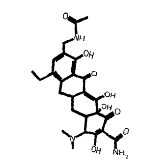 CCc1cc(CNC(C)=O)c(O)c2c1CC1CC3C(N(C)C)C(O)=C(C(N)=O)C(=O)C3(O)C(O)=C1C2=O